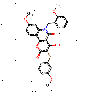 COc1cccc(Sc2c(O)c3c(=O)n(Cc4ccccc4OC)c4cc(OC)ccc4c3oc2=O)c1